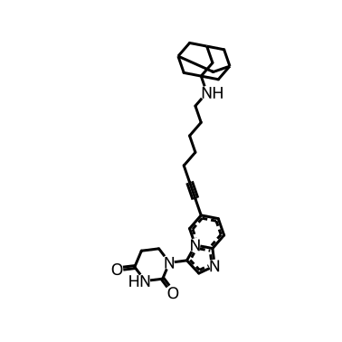 O=C1CCN(c2cnc3ccc(C#CCCCCCNC45CC6CC(CC(C6)C4)C5)cn23)C(=O)N1